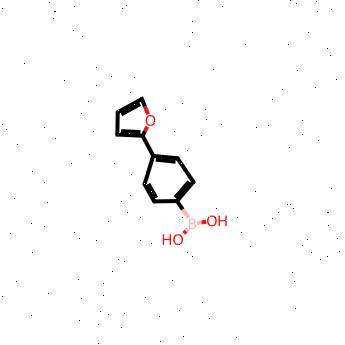 OB(O)c1ccc(-c2ccco2)cc1